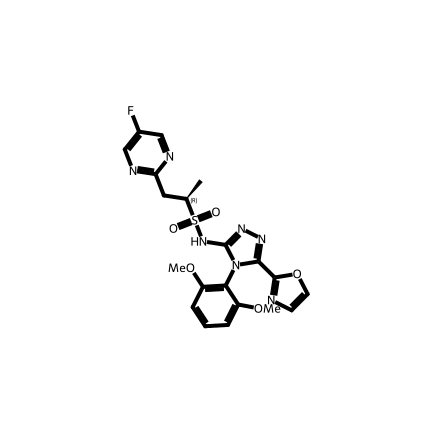 COc1cccc(OC)c1-n1c(NS(=O)(=O)[C@H](C)Cc2ncc(F)cn2)nnc1-c1ncco1